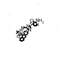 CC(C)(C)[S@@+]([O-])N[C@@H]1c2ccccc2CC12CCN(c1ncc(Sc3ccnc(N)c3Cl)nc1C#N)CC2